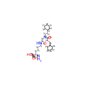 NC(CCCCNC(=O)CN(CCc1ccccc1)C(=O)CCc1ccccc1)B(O)O